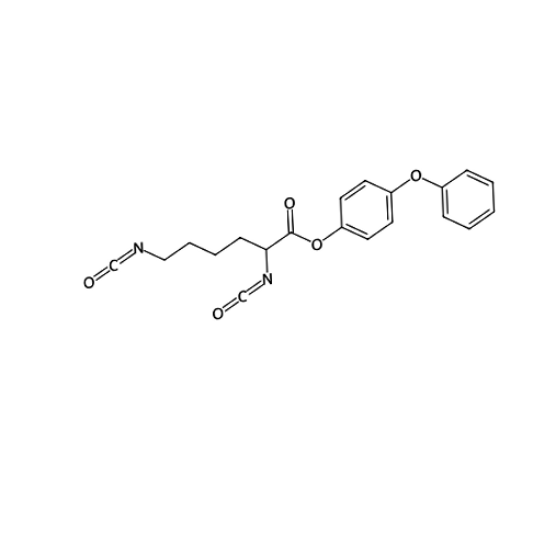 O=C=NCCCCC(N=C=O)C(=O)Oc1ccc(Oc2ccccc2)cc1